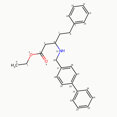 CCOC(=O)CC(CCc1ccccc1)NCc1ccc(-c2ccccc2)cc1